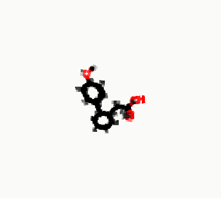 COc1ccc(-c2ccccc2CC(=O)O)cc1